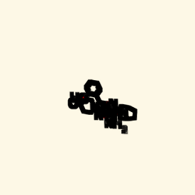 Nc1nnc(-c2ccccc2O)cc1N1CC2CCC(C1)N2c1ncc(N2CCC(=O)CC2)cn1